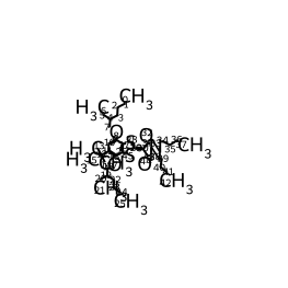 CCCCC(CC)COc1cc(C(C)(C)C)c(OCC(CC)CCCC)c2c1SC(=C1C(=O)N(CCCC)N(CCCC)C1=O)S2